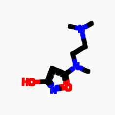 CN(C)CCN(C)c1cc(O)no1